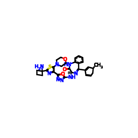 CC1C=C(C2=N[C@H](Nc3nnc(-c4nc(C5(N)CCC5)sc4N4CCOCC4)o3)C(=O)Nc3ccccc32)C=CC1